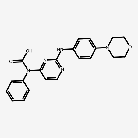 O=C(O)N(c1ccccc1)c1ccnc(Nc2ccc(N3CCOCC3)cc2)n1